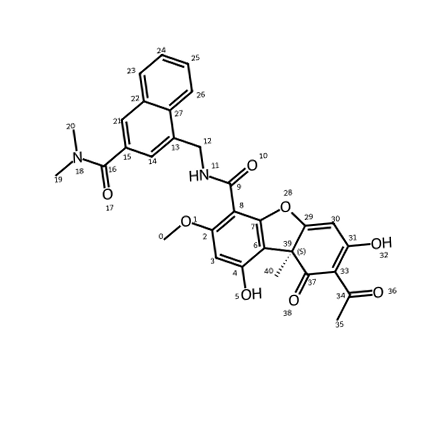 COc1cc(O)c2c(c1C(=O)NCc1cc(C(=O)N(C)C)cc3ccccc13)OC1=CC(O)=C(C(C)=O)C(=O)[C@]12C